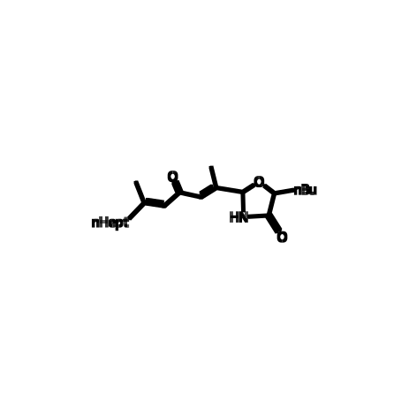 CCCCCCC/C(C)=C/C(=O)/C=C(\C)C1NC(=O)C(CCCC)O1